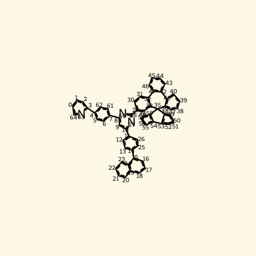 c1ccc(-c2ccc(-c3cc(-c4ccc(-c5cccc6ccccc56)cc4)nc(-c4ccc5c(c4)C4(c6ccccc6-c6ccccc6-5)c5ccccc5-c5ccccc54)n3)cc2)nc1